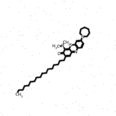 CCCCCCCCCCCCCCCCCc1cc2nc3ccc(N4CCCCCC4)cc3sc-2c(N(C)C)c1=O